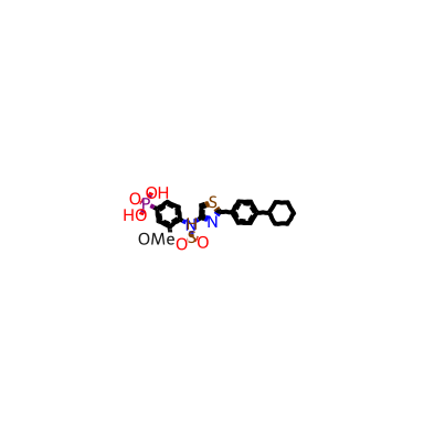 COc1cc(P(=O)(O)O)ccc1N(c1csc(-c2ccc(C3CCCCC3)cc2)n1)[SH](=O)=O